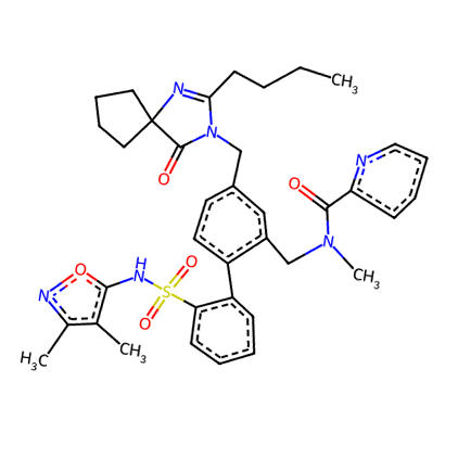 CCCCC1=NC2(CCCC2)C(=O)N1Cc1ccc(-c2ccccc2S(=O)(=O)Nc2onc(C)c2C)c(CN(C)C(=O)c2ccccn2)c1